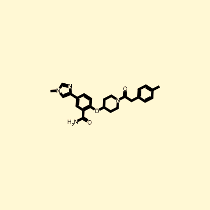 Cc1ccc(CC(=O)N2CCC(Oc3ccc(-c4cn(C)cn4)cc3C(N)=O)CC2)cc1